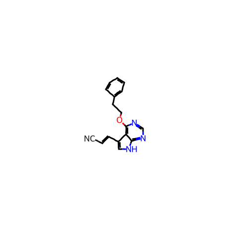 N#C/C=C/c1c[nH]c2ncnc(OCCc3ccccc3)c12